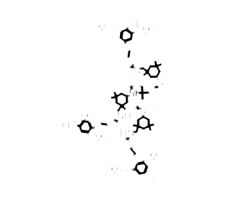 CCC(COC(=O)NC1CC(C)(C)CC(C)(CNC(=O)OCCOc2cc(OC)c(C=O)c(OC)c2)C1)(COC(=O)NC1CC(C)(C)CC(C)(CNC(=O)OCCOc2c(OC)cc(C=O)cc2OC)C1)COC(=O)NC1CC(C)(C)CC(C)(CNC(=O)OCCOc2c(OC)cc(C=O)cc2OC)C1